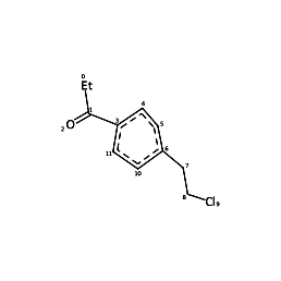 CCC(=O)c1ccc(CCCl)cc1